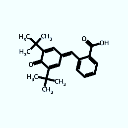 CC(C)(C)C1=CC(=Cc2ccccc2C(=O)O)C=C(C(C)(C)C)C1=O